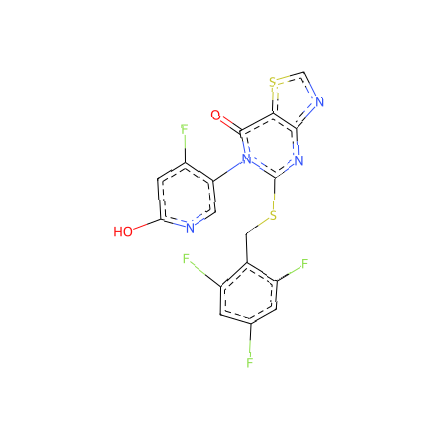 O=c1c2scnc2nc(SCc2c(F)cc(F)cc2F)n1-c1cnc(O)cc1F